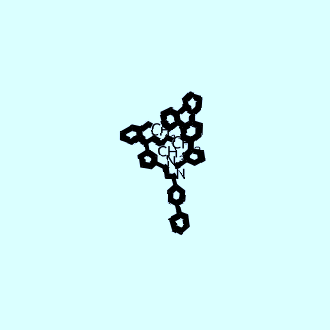 C/C=c1/cccc/c1=C(/C=C(\C)CC)c1cccc(-c2cc(-c3ccc(-c4ccccc4)cc3)nc(-c3cccc(-c4ccc5c6ccccc6c6ccccc6c5c4)c3)n2)c1